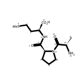 CSCC[C@H](NC(=O)[C@@H]1CCCN1C(=O)[C@H](C)N)C(=O)O